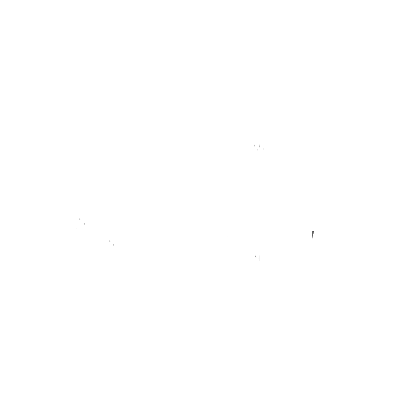 COCC#Cc1cc([C@@](C)(O)C(F)(F)F)cnc1-c1ccc(S(=O)(=O)c2ccc(N)nc2)cc1